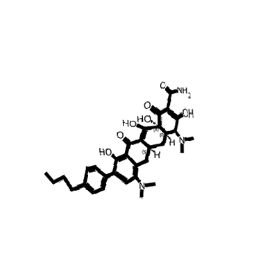 CCCCc1ccc(-c2cc(N(C)C)c3c(c2O)C(=O)C2=C(O)[C@@]4(O)C(=O)C(C(N)=O)=C(O)C(N(C)C)[C@H]4C[C@H]2C3)cc1